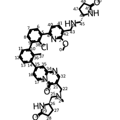 COc1nc(-c2cccc(-c3cccc(-c4ccn5c(=O)c(CN(C)C[C@H]6CCC(=O)N6)cnc5c4)c3C)c2Cl)ccc1CNC[C@@H]1CCC(=O)N1